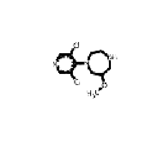 COC1CNCCN(c2c(Cl)cncc2Cl)C1